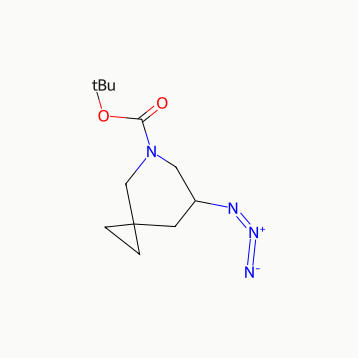 CC(C)(C)OC(=O)N1CC(N=[N+]=[N-])CC2(CC2)C1